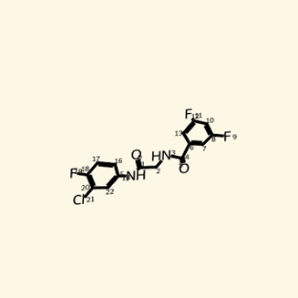 O=C(CNC(=O)c1cc(F)cc(F)c1)Nc1ccc(F)c(Cl)c1